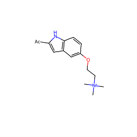 CC(=O)c1cc2cc(OCC[N+](C)(C)C)ccc2[nH]1